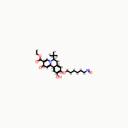 CCOC(=O)c1cn2c(cc1=O)-c1cc(O)c(OCCCCCCN=O)cc1CC2C(C)(C)C